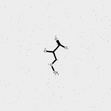 COCC(Cl)C(=O)Cl